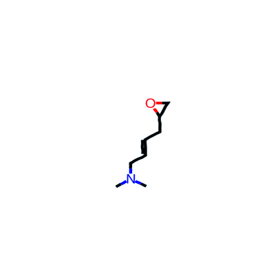 CN(C)CC=CCC1CO1